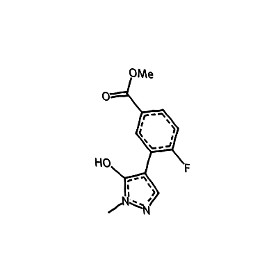 COC(=O)c1ccc(F)c(-c2cnn(C)c2O)c1